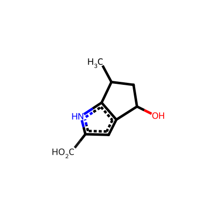 CC1CC(O)c2cc(C(=O)O)[nH]c21